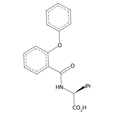 CC(C)[C@H](NC(=O)c1ccccc1Oc1ccccc1)C(=O)O